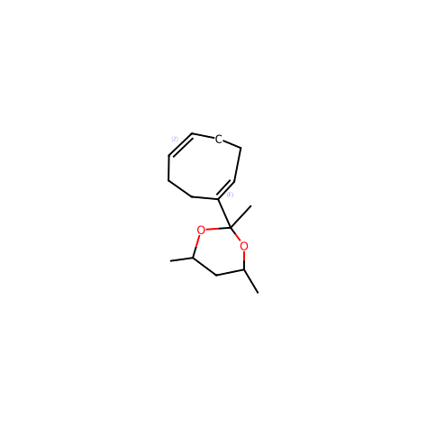 CC1CC(C)OC(C)(/C2=C/CC/C=C\CC2)O1